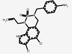 C=CCN1c2c(cc(Cl)c3c(Cl)c[nH]c23)CN(Cc2ccc(N)cc2)S1(=O)=O